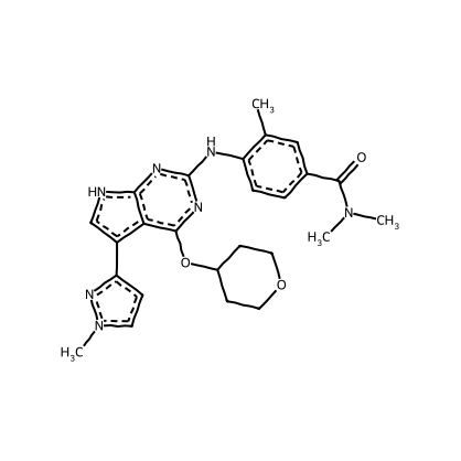 Cc1cc(C(=O)N(C)C)ccc1Nc1nc(OC2CCOCC2)c2c(-c3ccn(C)n3)c[nH]c2n1